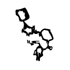 Cc1oncc1C(=O)N1CCC[C@H](n2nnc(-c3ccccc3)n2)C1